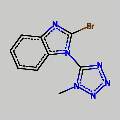 Cn1nnnc1-n1c(Br)nc2ccccc21